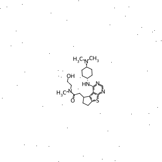 CN(CCO)C(=O)CC1CCc2sc3ncnc(N[C@H]4CC[C@H](N(C)C)CC4)c3c21